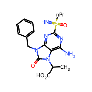 CCCS(=N)(=O)c1nc(N)c2c(n1)n(Cc1ccccc1)c(=O)n2C(C)C(=O)O